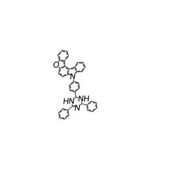 c1ccc(C2=NC(c3ccccc3)NC(c3ccc(-n4c5ccccc5c5c6c(ccc54)oc4ccccc46)cc3)N2)cc1